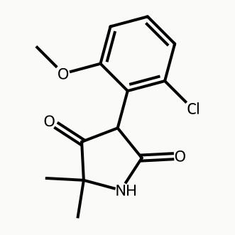 COc1cccc(Cl)c1C1C(=O)NC(C)(C)C1=O